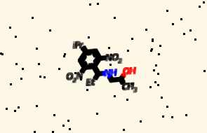 CCC(NCC(C)O)c1c([N+](=O)[O-])cc(C(C)C)cc1[N+](=O)[O-]